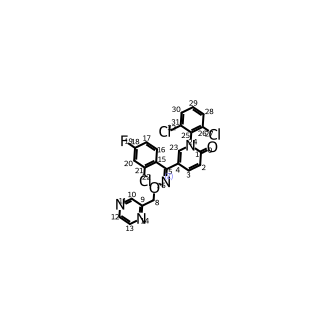 O=c1ccc(/C(=N/OCc2cnccn2)c2ccc(F)cc2Cl)cn1-c1c(Cl)cccc1Cl